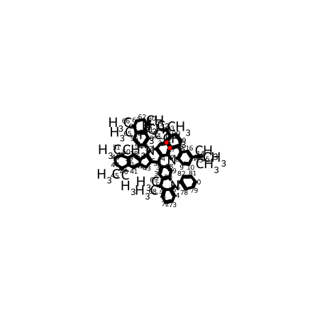 Cc1cc2c3c(c1)N(c1ccc(C(C)(C)C)cc1-c1ccc(C(C)(C)C)cc1)c1cc4c(cc1C3C1=C(c3cc5c(cc3C1)C(C)(C)CCC5(C)C)N2c1ccc2c(c1)C(C)(C)CCC2(C)C)C(C)(C)c1ccccc1N4c1ccccc1